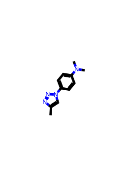 Cc1cn(-c2ccc(N(C)C)cc2)nn1